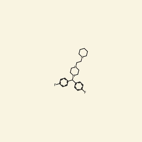 Fc1ccc(C(c2ccc(F)cc2)N2CCN(CCN3CCCCC3)CC2)cc1